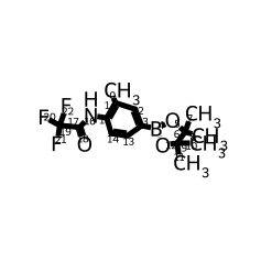 Cc1cc(B2OC(C)(C)C(C)(C)O2)ccc1NC(=O)C(F)(F)F